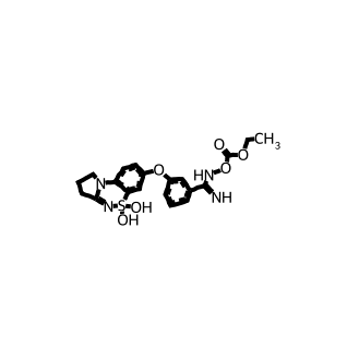 CCOC(=O)ONC(=N)c1cccc(Oc2ccc3c(c2)S(O)(O)N=C2CCCN23)c1